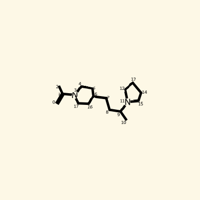 C=C(C)N1CCC(CCC(C)N2CCCC2)CC1